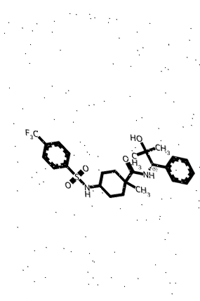 CC1(C(=O)N[C@@H](c2ccccc2)C(C)(C)O)CCC(NS(=O)(=O)c2ccc(C(F)(F)F)cc2)CC1